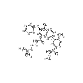 Cc1ccc(C(=O)NC2CC2)cc1-c1ccc2c(=O)n(Cc3ccccc3)cc(C(=O)NCCCN(C)C)c2c1